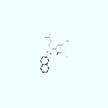 CSCCC(C(=O)NO)N(CCC(C)C)S(=O)(=O)c1ccc2ccccc2c1